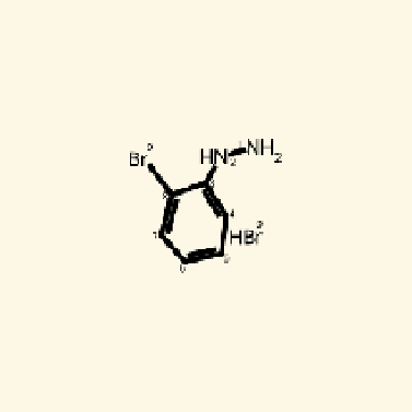 Br.NNc1ccccc1Br